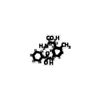 Cc1ccc(NS(=O)(=O)C2CCCCC2)cc1C[C@H](N)C(=O)O